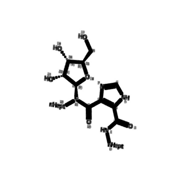 CCCCCCCNC(=O)c1[nH]cnc1C(=O)N(CCCCCCC)[C@@H]1O[C@H](CO)[C@@H](O)[C@H]1O